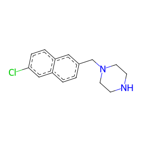 Clc1ccc2cc(CN3CCNCC3)ccc2c1